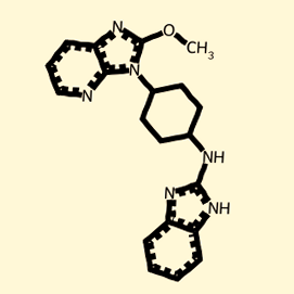 COc1nc2cccnc2n1C1CCC(Nc2nc3ccccc3[nH]2)CC1